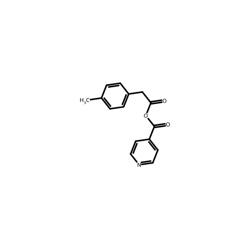 Cc1ccc(CC(=O)OC(=O)c2ccncc2)cc1